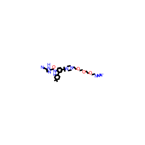 CC1(C)CC=C(c2cc(C(C)(C)N3CCN(CCOCCOCCOCCN=[N+]=[N-])CC3)ccc2NC(=O)c2ncc(C#N)[nH]2)CC1